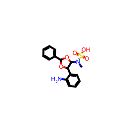 CN(C1OC(c2ccccc2)OC1c1ccccc1N)S(=O)(=O)O